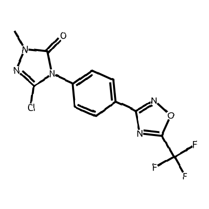 Cn1nc(Cl)n(-c2ccc(-c3noc(C(F)(F)F)n3)cc2)c1=O